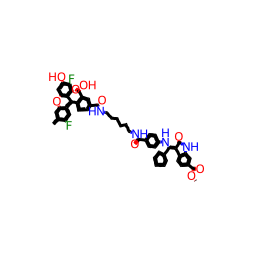 C=c1cc2c(cc1F)=C(c1ccc(C(=O)NCCCCCCNC(=O)c3ccc(N/C(=C4\C(=O)Nc5cc(C(=O)OC)ccc54)c4ccccc4)cc3)cc1C(=O)O)c1cc(F)c(O)cc1O2